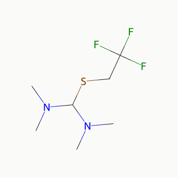 CN(C)C(SCC(F)(F)F)N(C)C